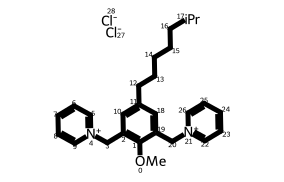 COc1c(C[n+]2ccccc2)cc(CCCCCC(C)C)cc1C[n+]1ccccc1.[Cl-].[Cl-]